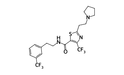 O=C(NCCc1cccc(C(F)(F)F)c1)c1sc(CCN2CCCC2)nc1C(F)(F)F